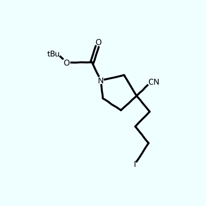 CC(C)(C)OC(=O)N1CCC(C#N)(CCCI)C1